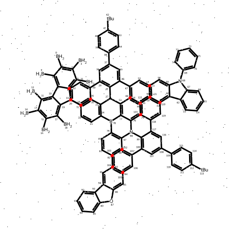 Bc1c(B)c(B)c2c(c1B)c1c(B)c(B)c(B)c(B)c1n2-c1ccc2c(c1)C(c1c(-c3ccccc3)cc(-c3ccc(C(C)(C)C)cc3)cc1-c1ccccc1)c1cc(-c3ccc4c(c3)c3ccccc3n4-c3ccccc3)cc3c1B2c1ccc(-c2ccc4oc5ccccc5c4c2)cc1N3c1c(-c2ccccc2)cc(-c2ccc(C(C)(C)C)cc2)cc1-c1ccccc1